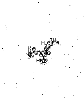 C[N+](C)(C)CCOP(=O)([O-])OC[C@@H](COC(=O)c1ncc[nH]1)OC(=O)c1ncc[nH]1